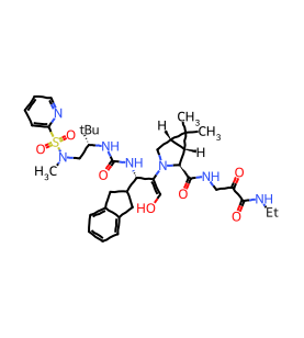 CCNC(=O)C(=O)CNC(=O)[C@@H]1[C@@H]2[C@H](CN1/C(=C/O)[C@@H](NC(=O)N[C@H](CN(C)S(=O)(=O)c1ccccn1)C(C)(C)C)C1Cc3ccccc3C1)C2(C)C